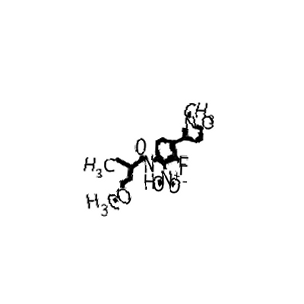 CCC(CCOC)C(=O)Nc1ccc(-c2ccc(=O)n(C)c2)c(F)c1[N+](=O)[O-]